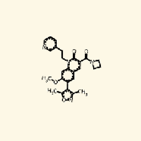 COc1cc2c(cc1-c1c(C)noc1C)cc(C(=O)N1CCC1)c(=O)n2CCc1cccnc1